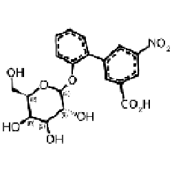 O=C(O)c1cc(-c2ccccc2O[C@@H]2O[C@H](CO)[C@H](O)[C@H](O)[C@H]2O)cc([N+](=O)[O-])c1